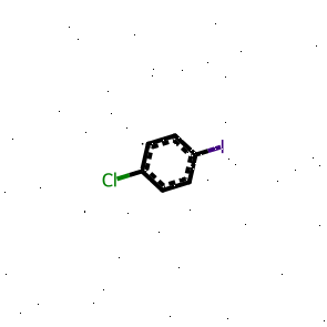 Clc1[c]cc(I)cc1